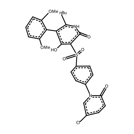 CCCCc1[nH]c(=O)c(S(=O)(=O)c2ccc(-n3cc(Cl)ccc3=O)cc2)c(O)c1-c1c(OC)cccc1OC